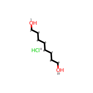 Cl.OCCCCCCCCO